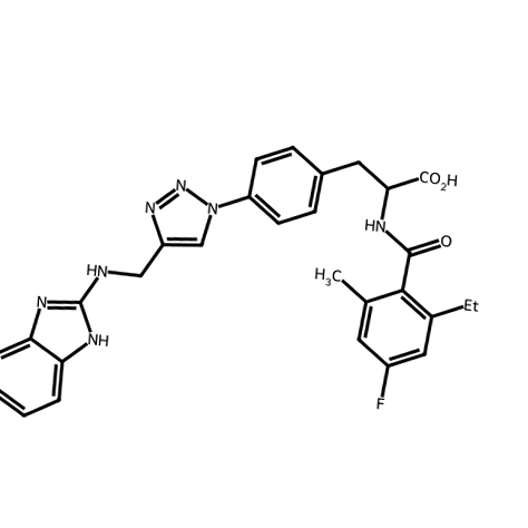 CCc1cc(F)cc(C)c1C(=O)NC(Cc1ccc(-n2cc(CNc3nc4ccccc4[nH]3)nn2)cc1)C(=O)O